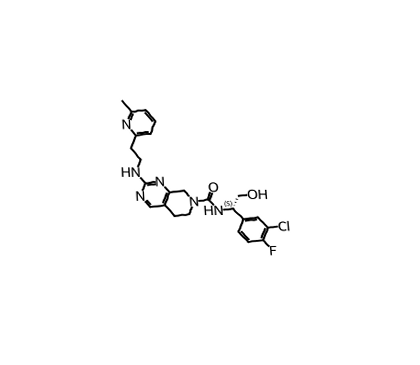 Cc1cccc(CCNc2ncc3c(n2)CN(C(=O)N[C@H](CO)c2ccc(F)c(Cl)c2)CC3)n1